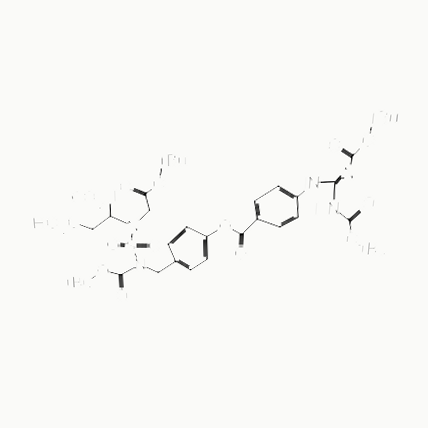 CC(C)(C)OC(=O)CN(C(CC(=O)O)C(=O)O)S(=O)(=O)N(Cc1ccc(OC(=O)c2ccc(N/C(=N\C(=O)OC(C)(C)C)NC(=O)OC(C)(C)C)cc2)cc1)C(=O)OC(C)(C)C